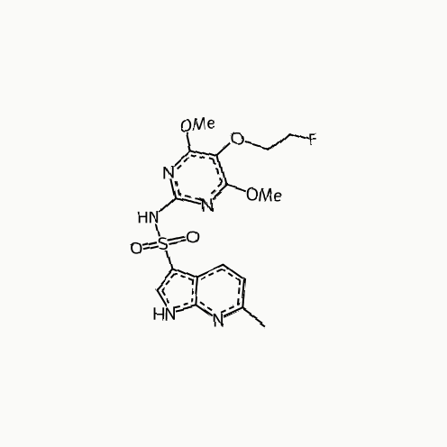 COc1nc(NS(=O)(=O)c2c[nH]c3nc(C)ccc23)nc(OC)c1OCCF